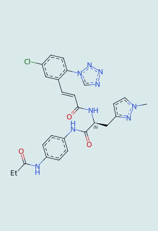 CCC(=O)Nc1ccc(NC(=O)[C@H](Cc2ccn(C)n2)NC(=O)C=Cc2cc(Cl)ccc2-n2cnnn2)cc1